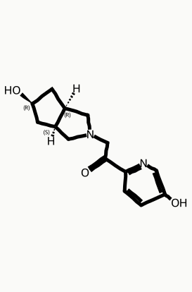 O=C(CN1C[C@H]2C[C@@H](O)C[C@H]2C1)c1ccc(O)cn1